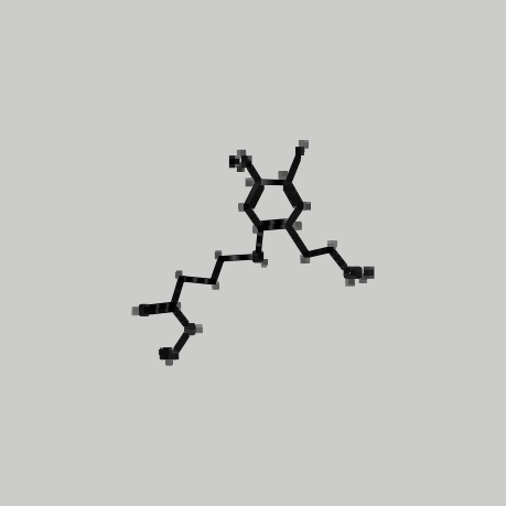 CC(C)(C)OC(=O)CCCOc1cc(N)c(F)cc1CCC(=O)O